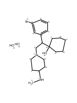 CNC1CCN(CC(c2cccc(Br)c2)C2(O)CCCCC2)CC1.Cl.Cl